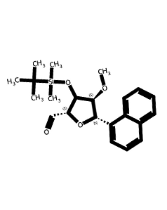 CO[C@@H]1C(O[Si](C)(C)C(C)(C)C)[C@@H](C=O)O[C@H]1c1cccc2ccccc12